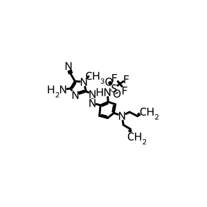 C=CCN(CC=C)c1ccc(N=Nc2nc(N)c(C#N)n2C)c(NS(=O)(=O)C(F)(F)F)c1